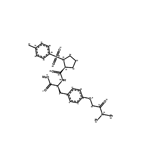 COC(=O)[C@H](Cc1ccc(OCC(=O)N(C(C)C)C(C)C)cc1)NC(=O)[C@@H]1CCCN1S(=O)(=O)c1ccc(C)cc1